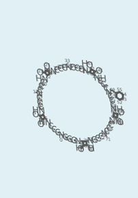 CN1CCCNc2c(c(=O)c2=O)NCCCN(C)CCCNc2c(c(=O)c2=O)NCCCN(C)CCCNc2c(c(=O)c2=O)NCCCN(Cc2ccccc2)CCCNc2c(c(=O)c2=O)NCCCN(C)CCCNc2c(c(=O)c2=O)NCCC1